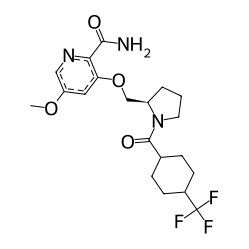 COc1cnc(C(N)=O)c(OC[C@H]2CCCN2C(=O)C2CCC(C(F)(F)F)CC2)c1